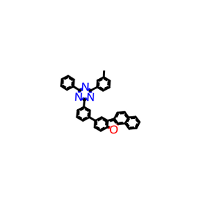 Cc1cccc(-c2nc(-c3ccccc3)nc(-c3cccc(-c4ccc5oc6c7ccccc7ccc6c5c4)c3)n2)c1